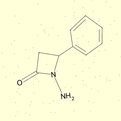 NN1C(=O)CC1c1ccccc1